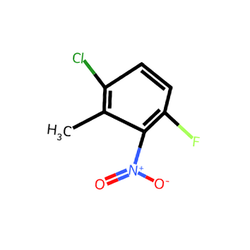 Cc1c(Cl)ccc(F)c1[N+](=O)[O-]